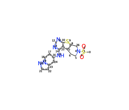 CS(=O)(=O)N1CCc2c(sc3ncnc(Nc4ccn5nccc5c4)c23)C1